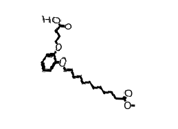 COC(=O)CCCCCCCCCCCOc1ccccc1OCCCC(=O)O